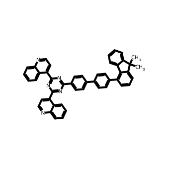 CC1(C)c2ccccc2-c2c(-c3ccc(-c4ccc(-c5nc(-c6ccnc7ccccc67)nc(-c6ccnc7ccccc67)n5)cc4)cc3)cccc21